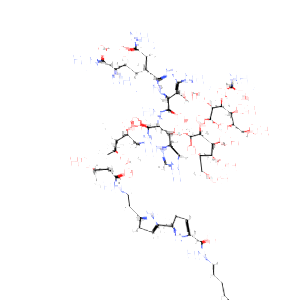 CCCCCNC(=O)C1=CCC(C2=CCC(CCNC(=O)[C@@H](CC(=O)[C@@H](C)[C@H](O)[C@@H](C)NC(=O)[C@@H](NC(=O)c3nc([C@@H](CC[C@H](N)C(N)=O)CC(N)=O)nc(N)c3C)[C@@H](OC3OC(CO)C(O)C(O)C3OC3OC(CO)C(O)C(OC(N)=O)C3O)c3c[nH]cn3)[C@@H](C)O)=N2)=N1